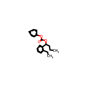 CCCC(OC(=O)Oc1ccccc1)c1ccccc1CC